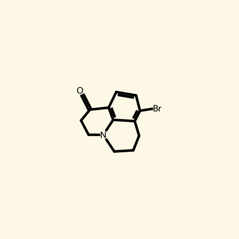 O=C1CCN2CCCc3c(Br)ccc1c32